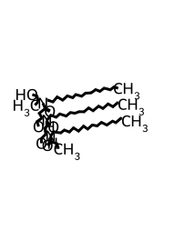 CCCCCCCCCCCCCCCCN(C(=O)CC(CO)N(CCCCCCCCCCCCCCCC)C(=O)CC(CO)N(CCCCCCCCCCCCCCCC)C(=O)CC)C(C)CO